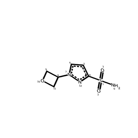 NS(=O)(=O)c1ccn(C2COC2)n1